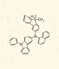 CC1(C)c2ccccc2-c2cc(N(c3ccc4c(c3)c3ccccc3n4-c3ccccc3)c3cccc4ccccc34)ccc21